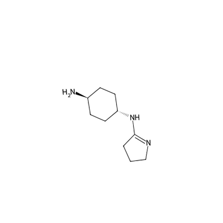 N[C@H]1CC[C@H](NC2=NCCC2)CC1